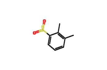 Cc1cccc([SH](=O)=O)c1C